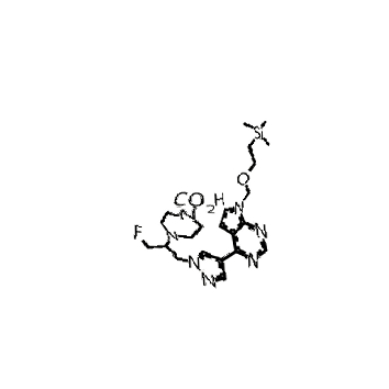 C[Si](C)(C)CCOCn1ccc2c(-c3cnn(CC(CF)N4CCN(C(=O)O)CC4)c3)ncnc21